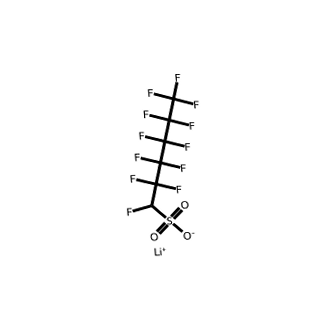 O=S(=O)([O-])C(F)C(F)(F)C(F)(F)C(F)(F)C(F)(F)C(F)(F)F.[Li+]